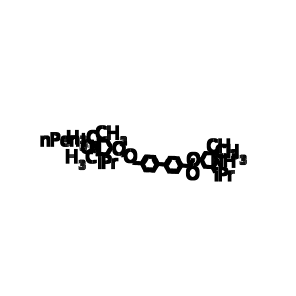 CCCCCON1C(C)(C)CC(OCOCc2ccc(-c3ccc(C(=O)OC4CC(C(C)C)NC(C)(C)C4)cc3)cc2)CC1(C)C(C)C